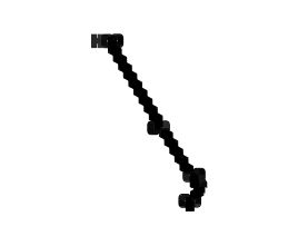 CC(=O)OCCN(C)CC(=O)OCCCCCCCCCCOC(=O)CCCCCCCCCCCCCCCCCCC(=O)O